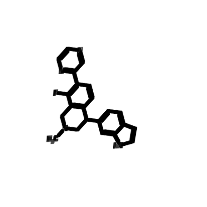 CN1Cc2c(ccc(-c3cnccn3)c2F)C(c2ccc3cc[nH]c3c2)C1